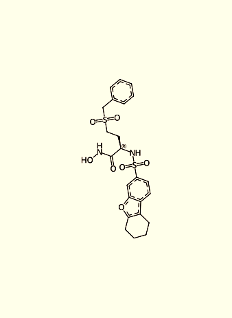 O=C(NO)[C@@H](CCS(=O)(=O)Cc1ccccc1)NS(=O)(=O)c1ccc2c3c(oc2c1)CCCC3